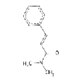 CN(C)C(=O)/C=C/c1ccccc1